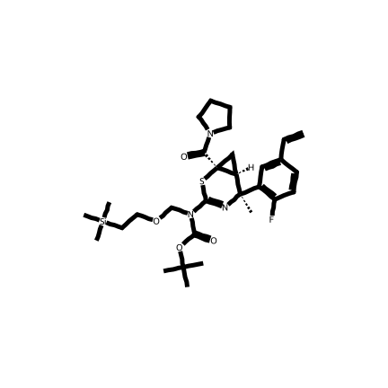 C=Cc1ccc(F)c([C@@]2(C)N=C(N(COCC[Si](C)(C)C)C(=O)OC(C)(C)C)S[C@@]3(C(=O)N4CCCC4)C[C@H]32)c1